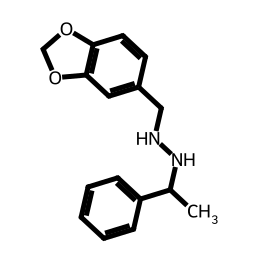 CC(NNCc1ccc2c(c1)OCO2)c1ccccc1